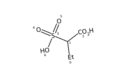 [CH2]CC(C(=O)O)S(=O)(=O)O